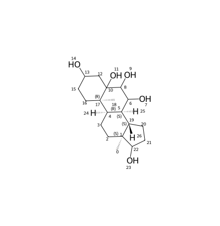 C[C@]12CC[C@@H]3[C@@H](C(O)C(O)C4(O)CC(O)CC[C@]34C)[C@@H]1CCC2O